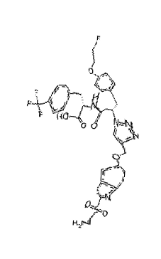 NS(=O)(=O)c1nc2ccc(OCc3cn([C@@H](Cc4ccc(OCCF)cc4)C(=O)N[C@@H](Cc4ccc(C(F)(F)F)cc4)C(=O)O)nn3)cc2s1